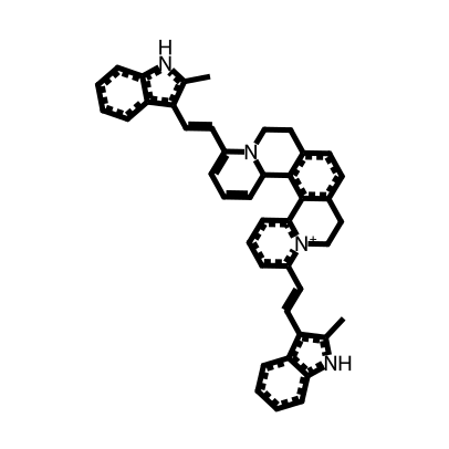 Cc1[nH]c2ccccc2c1/C=C/C1=CC=CC2c3c(ccc4c3-c3cccc(/C=C/c5c(C)[nH]c6ccccc56)[n+]3CC4)CCN12